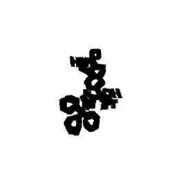 CC(C)C(O)(c1ccc2c3c(ccc2c1)C(=O)NC3)c1cn(C(c2ccccc2)(c2ccccc2)c2ccccc2)cn1